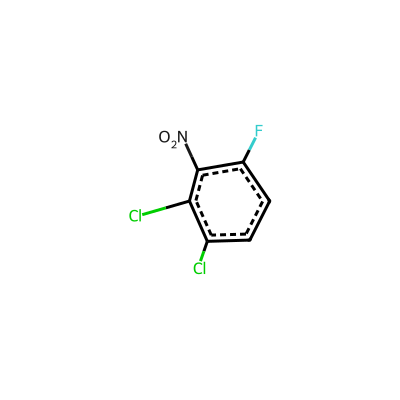 O=[N+]([O-])c1c(F)ccc(Cl)c1Cl